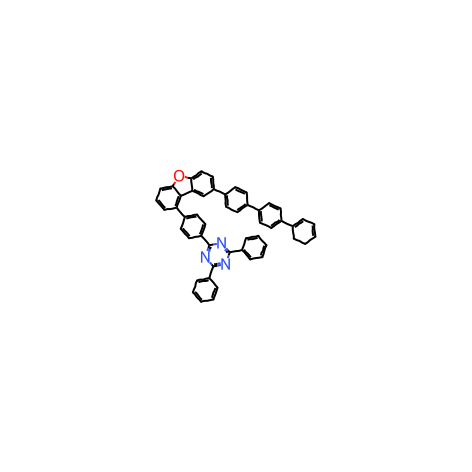 C1=CCCC(c2ccc(-c3ccc(-c4ccc5oc6cccc(-c7ccc(-c8nc(-c9ccccc9)nc(-c9ccccc9)n8)cc7)c6c5c4)cc3)cc2)=C1